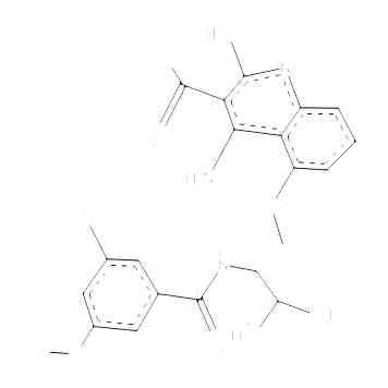 COc1cc(O)cc(C(=O)N[C@H](COc2cccc3nc(C)c(C(=O)O)c(N)c23)C(C)C)c1